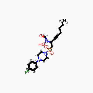 CCCCC#CC(CS(=O)(=O)N1CCN(c2ccc(F)cc2)CC1)N(O)C=O